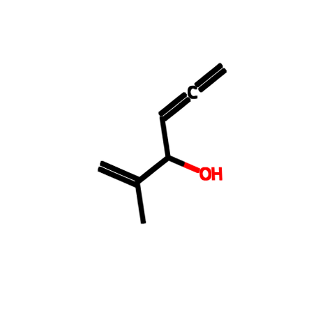 C=C=CC(O)C(=C)C